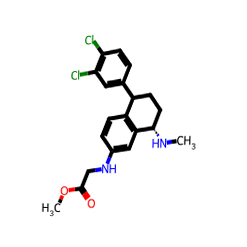 CN[C@H]1CCC(c2ccc(Cl)c(Cl)c2)c2ccc(NCC(=O)OC)cc21